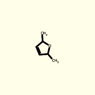 CC1C=CC(C)O1